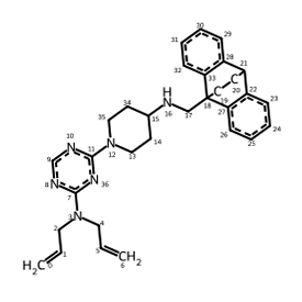 C=CCN(CC=C)c1ncnc(N2CCC(NCC34CCC(c5ccccc53)c3ccccc34)CC2)n1